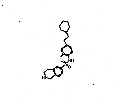 O=S(=O)(Nc1ccc(CCC2CCCCC2)cc1F)c1ccc2c(c1)CCNC2